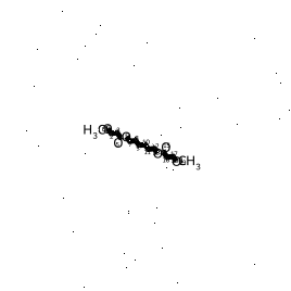 COCCC(=O)OCCCCCCOC(=O)CCOC